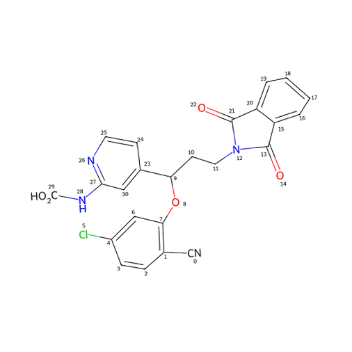 N#Cc1ccc(Cl)cc1OC(CCN1C(=O)c2ccccc2C1=O)c1ccnc(NC(=O)O)c1